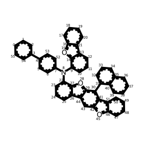 c1ccc(-c2ccc(N(c3cccc4c3oc3ccccc34)c3cccc4c3oc3c(-c5cccc6ccccc56)c5c(cc34)oc3ccccc35)cc2)cc1